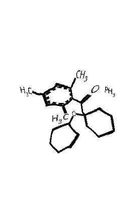 Cc1cc(C)c(C(=O)C2(OC3CCCCC3)CCCCC2)c(C)c1.P